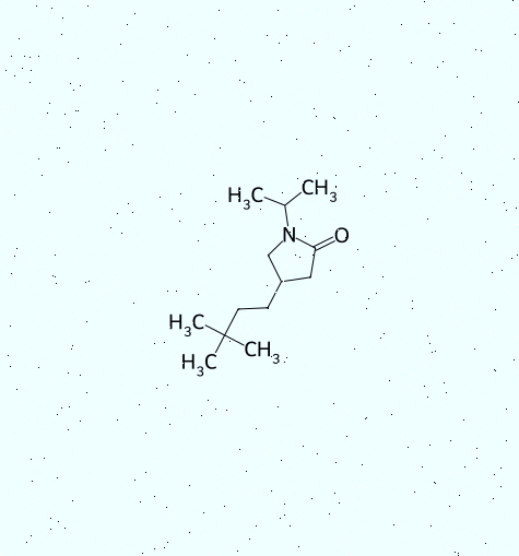 CC(C)N1CC(CCC(C)(C)C)CC1=O